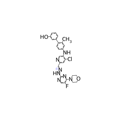 Cc1cc(Nc2cnc(/C=N/Nc3ncc(F)c(N4CCOCC4)n3)cc2Cl)ccc1-c1cccc(O)c1